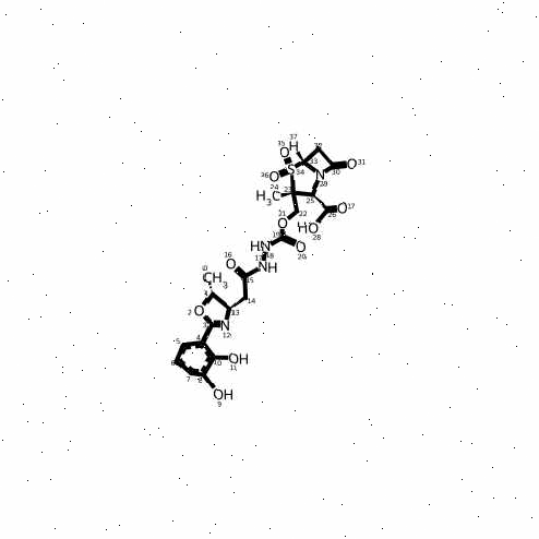 C[C@H]1OC(c2cccc(O)c2O)=N[C@@H]1CC(=O)NNC(=O)OC[C@@]1(C)[C@H](C(=O)O)N2C(=O)C[C@H]2S1(=O)=O